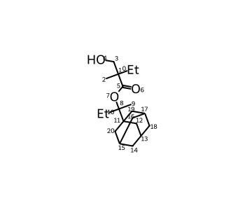 CCC(C)(CO)C(=O)OC(C)(CC)C12CC3CC(CC(C3)C1)C2